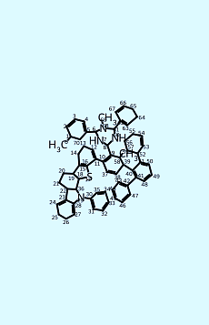 CC1C=CC=C(C2NC(C3=C(C4=CCCC5=C4SC4C5CCC5C6=CCCC=C6N(c6ccccc6)C54)C=CC(c4c(-c5ccccc5)cccc4C4C=CCCC4)C3C)NC(C3=CCCC=C3)N2C)C1